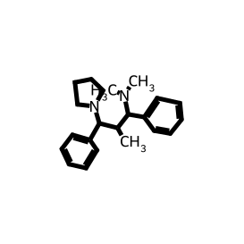 CC(C(c1ccccc1)N(C)C)C(c1ccccc1)N1CCCC1